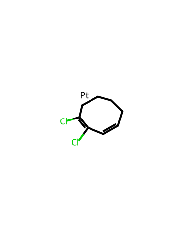 ClC1=C(Cl)CCCCC=C1.[Pt]